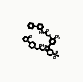 CS(=O)(=O)N1CCc2c(c(-c3ccc(C(F)(F)F)c(SCC(=O)Nc4cccc(-c5ccccc5)c4)c3)nn2CC(O)CN2CCC(N3CCCC3=O)CC2)C1